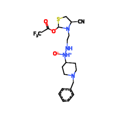 N#CC1CSC(OC(=O)C(F)(F)F)N1CCN[NH+]([O-])C1CCN(Cc2ccccc2)CC1